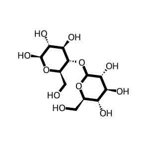 OC[C@H]1OC(O[C@H]2[C@H](O)[C@@H](O)[C@H](O)O[C@@H]2CO)[C@H](O)[C@@H](O)[C@@H]1O